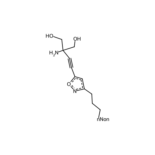 CCCCCCCCCCCCc1cc(C#CC(N)(CO)CO)on1